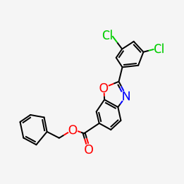 O=C(OCc1ccccc1)c1ccc2nc(-c3cc(Cl)cc(Cl)c3)oc2c1